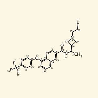 CC(NC(=O)c1ccc2c(Oc3ccc(C(F)(F)F)cc3)cccc2c1)C1CN(CCF)C1